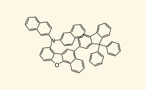 c1ccc(C2(c3ccccc3)c3ccccc3-c3ccc(-c4cc5c(oc6cccc(N(c7ccc8ccccc8c7)c7ccc8ccccc8c7)c65)c5ccccc45)cc32)cc1